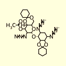 CC(=O)OC1C(N=[N+]=[N-])[C@@H](O[C@@H]2C(N=[N+]=[N-])CC(N=[N+]=[N-])C3OC4(CCCCC4)OC32)OC2COC3(CCCCC3)O[C@H]21